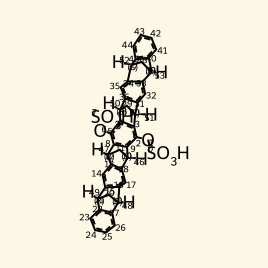 O=S(=O)(O)Oc1c2c(c(OS(=O)(=O)O)c3c1[C@H]1C[C@@H]3c3cc4c(cc31)[C@H]1C[C@@H]4c3ccccc31)[C@H]1C[C@@H]2c2cc3c(cc21)[C@H]1C[C@@H]3c2ccccc21